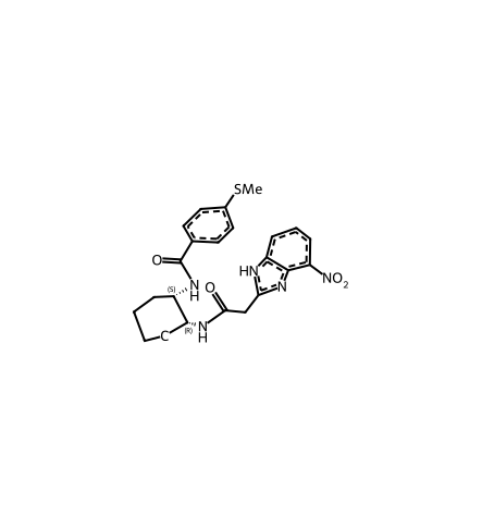 CSc1ccc(C(=O)N[C@H]2CCCC[C@H]2NC(=O)Cc2nc3c([N+](=O)[O-])cccc3[nH]2)cc1